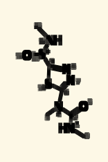 CNC(=O)N(C)c1nnc([S+]([O-])NC)s1